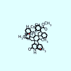 CCCCC1(c2cc(=O)[nH]c(C)n2)C(c2ccccc2)=C(C)C(CCCC(=O)OC)(c2ccccc2-c2ccccc2)C([N+](=CN(C)C)c2ccccc2)=C1c1nnn[nH]1